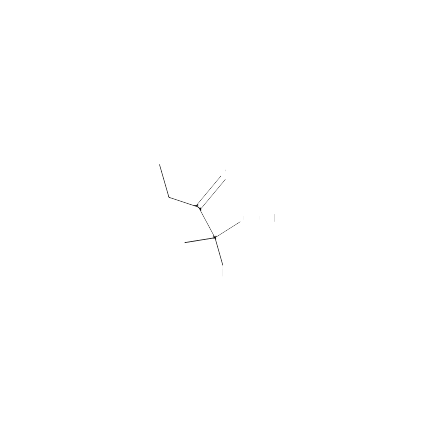 CC(F)(C(=O)O)C(=O)CF